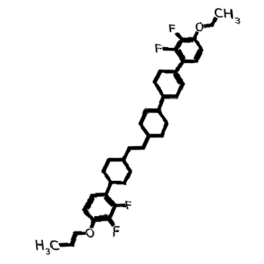 CCCOc1ccc(C2CCC(CCC3CCC(C4CC=C(c5ccc(OCC)c(F)c5F)CC4)CC3)CC2)c(F)c1F